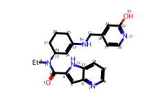 CCN(C(=O)c1cc2ncccc2[nH]1)[C@@H]1C=C(NCc2ccnc(O)c2)CCC1